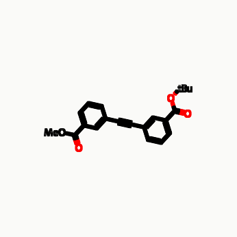 COC(=O)c1cccc(C#Cc2cccc(C(=O)OC(C)(C)C)c2)c1